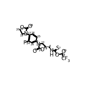 O=C1O[C@@H](CNC(=S)OC(=O)C(F)(F)F)CN1c1ccc(N2CCOC2=O)c(F)c1